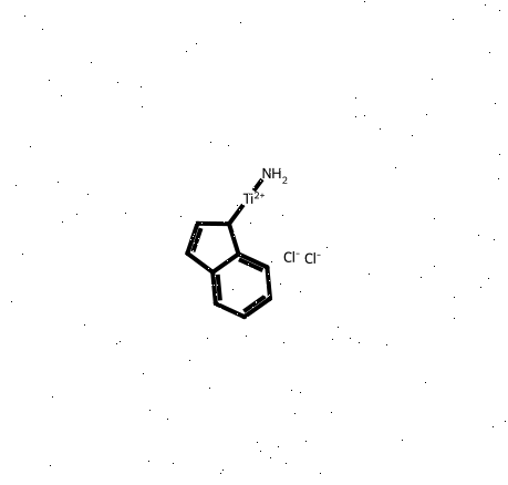 [Cl-].[Cl-].[NH2][Ti+2][CH]1C=Cc2ccccc21